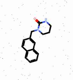 O=C1NCCCN1Cc1ccc2ccccc2c1